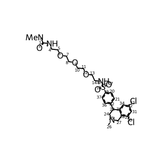 CNC(=O)NCCOCCOCCOCCNS(=O)(=O)c1ccc(C2CN(C)Cc3c(Cl)cc(Cl)cc32)cc1